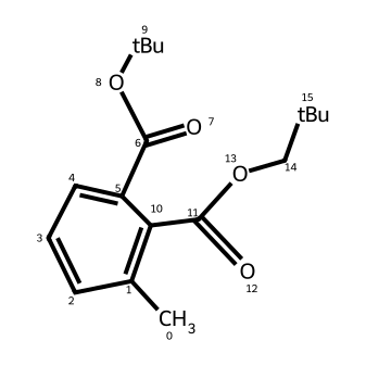 Cc1cccc(C(=O)OC(C)(C)C)c1C(=O)OCC(C)(C)C